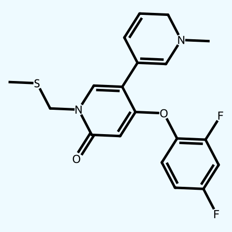 CSCn1cc(C2=CN(C)CC=C2)c(Oc2ccc(F)cc2F)cc1=O